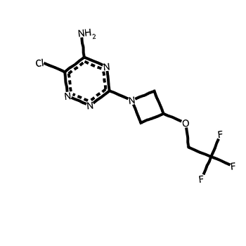 Nc1nc(N2CC(OCC(F)(F)F)C2)nnc1Cl